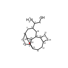 NC(CS)C1CC2SSC3C4CCC5SSC5C(C1)C3C2SS4